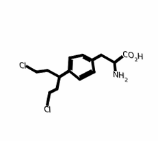 NC(Cc1ccc(C(CCCl)CCCl)cc1)C(=O)O